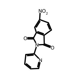 O=C1c2ccc([N+](=O)[O-])cc2C(=O)N1c1ccccn1